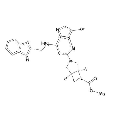 CC(C)(C)OC(=O)N1C[C@H]2CN(c3nc(NCc4nc5ccccc5[nH]4)n4ncc(Br)c4n3)C[C@H]21